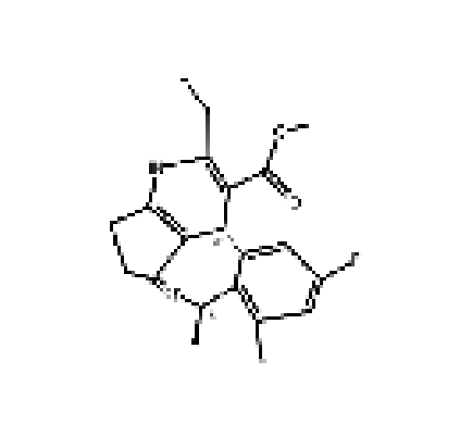 COC(=O)C1=C(CF)NC2=C(C(=O)CC2)[C@H]1c1cc(F)cc(F)c1[C@@H](C)F